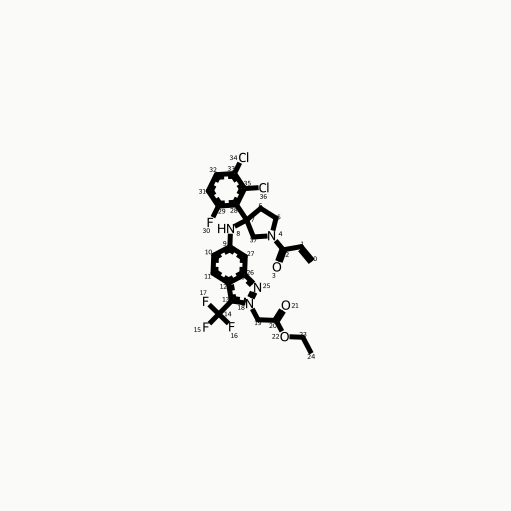 C=CC(=O)N1CCC(Nc2ccc3c(C(F)(F)F)n(CC(=O)OCC)nc3c2)(c2c(F)ccc(Cl)c2Cl)C1